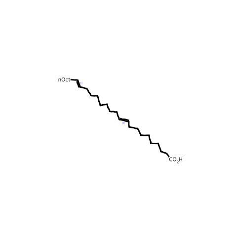 CCCCCCCC/C=C/CCCCCCC/C=C/CCCCCCCCC(=O)O